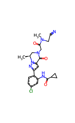 C[C@H]1CN(CC(=O)N(C)CC#N)C(=O)c2cc(-c3ccc(Cl)cc3NC(=O)C3CC3)nn21